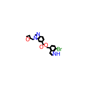 O=C(OCc1ccc(Br)c2[nH]ccc12)c1ccc2ncn(CC3CCO3)c2c1